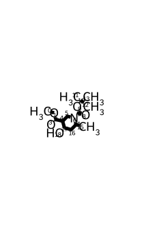 COC(=O)C1CN(C(=O)OC(C)(C)C)C(C)CC1O